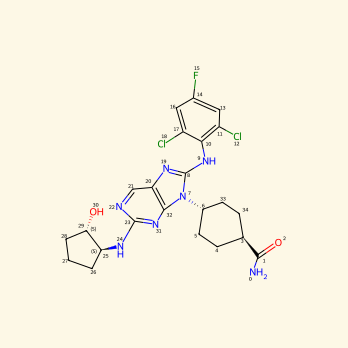 NC(=O)[C@H]1CC[C@H](n2c(Nc3c(Cl)cc(F)cc3Cl)nc3cnc(N[C@H]4CCC[C@@H]4O)nc32)CC1